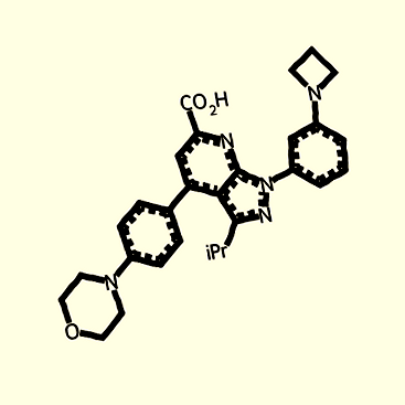 CC(C)c1nn(-c2cccc(N3CCC3)c2)c2nc(C(=O)O)cc(-c3ccc(N4CCOCC4)cc3)c12